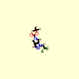 CC(C)(C)OC(=O)N1Cc2cnn(CC(F)F)c2C1